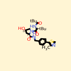 Cc1ncsc1-c1ccc(CNC(=O)[C@H]2C[C@H](O)CN2C(=O)[C@H](NC(=O)C(C)(C)C)C(C)(C)C)cc1